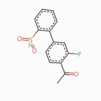 CC(=O)c1ccc(-c2ccccc2[SH](=O)=O)cc1F